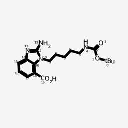 CC(C)(C)OC(=O)NCCCCCn1c(N)nc2cccc(C(=O)O)c21